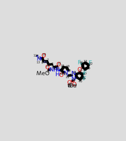 COC(=O)N[C@@H](CC/C=C/C(=O)N(C)C)C(=O)Nc1cccn(Cc2nc3c(Oc4ccc(F)cc4F)c(F)c(F)cc3n2C(=O)OC(C)(C)C)c1=O